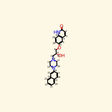 O=c1ccc2cc(OC[C@@H](O)CN3CCN(c4ccc5ccccc5c4)CC3)ccc2[nH]1